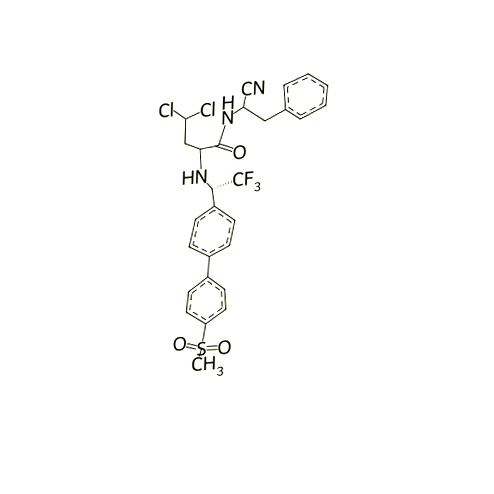 CS(=O)(=O)c1ccc(-c2ccc([C@H](NC(CC(Cl)Cl)C(=O)NC(C#N)Cc3ccccc3)C(F)(F)F)cc2)cc1